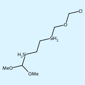 COC(OC)[SiH2]CC[SiH2]COCCl